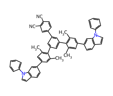 Cc1cc(-c2ccc3ccn(-c4ccccc4)c3c2)cc(C)c1-c1cc(-c2ccc(C#N)c(C#N)c2)cc(-c2c(C)cc(-c3ccc4ccn(-c5ccccc5)c4c3)cc2C)c1